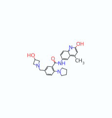 Cc1cc(O)nc2ccc(NC(=O)c3cc(CN4CC(O)C4)ccc3N3CCCC3)cc12